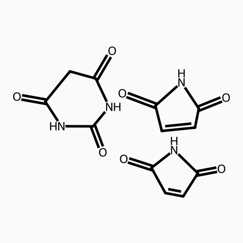 O=C1C=CC(=O)N1.O=C1C=CC(=O)N1.O=C1CC(=O)NC(=O)N1